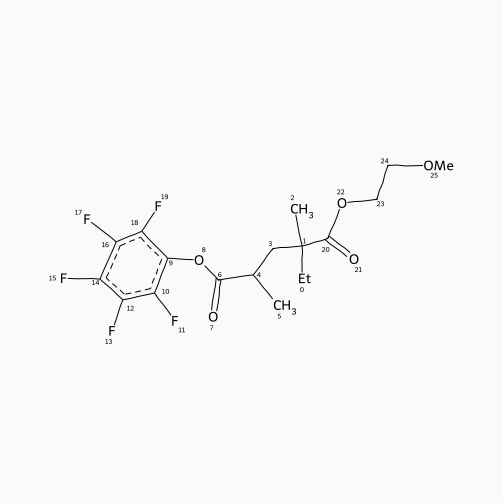 CCC(C)(CC(C)C(=O)Oc1c(F)c(F)c(F)c(F)c1F)C(=O)OCCOC